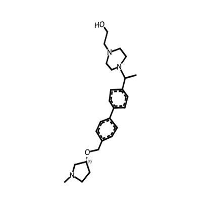 CC(c1ccc(-c2ccc(CO[C@@H]3CCN(C)C3)cc2)cc1)N1CCN(CCO)CC1